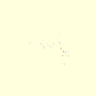 O=C(Nc1cccn(CCCC(F)(F)F)c1=O)c1ccc(NS(=O)(=O)CCO)cc1N1CCC2(CC1)CC2